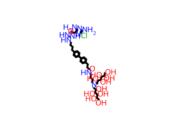 N=C(NCCCCc1ccc(-c2ccc(CCC(=O)NCCCCN(C[C@H](O)[C@@H](O)[C@H](O)[C@H](O)CO)C[C@H](O)[C@@H](O)[C@H](O)[C@H](O)CO)cc2)cc1)NC(=O)c1nc(Cl)c(N)nc1N